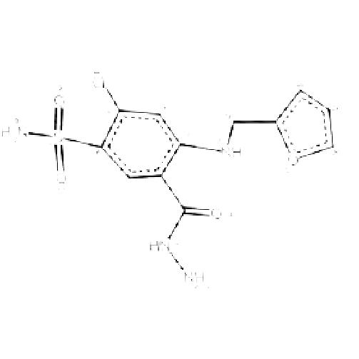 NNC(=O)c1cc(S(N)(=O)=O)c(Cl)cc1NCc1ccco1